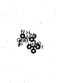 CCOC(=O)Nc1ccc(N(C)C)cc1C(=O)Nc1ccc(C[C@H](NC(c2ccccc2)(c2ccccc2)c2ccccc2)C(=O)O)c2cccnc12